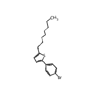 CCCCCCCCc1ccc(-c2ccc(Br)cc2)s1